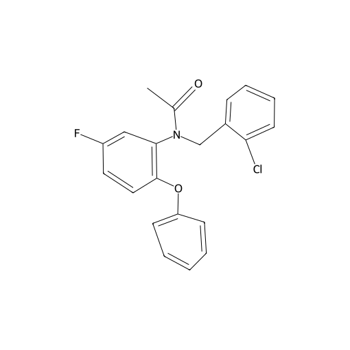 CC(=O)N(Cc1ccccc1Cl)c1cc(F)ccc1Oc1ccccc1